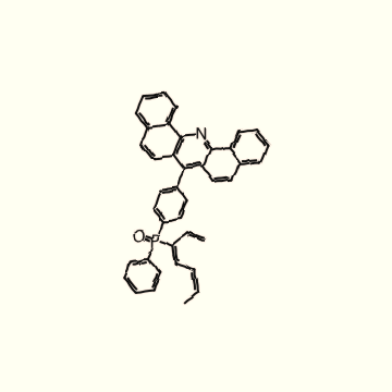 C=C/C(=C\C=C/C)P(=O)(c1ccccc1)c1ccc(-c2c3ccc4ccccc4c3nc3c2ccc2ccccc23)cc1